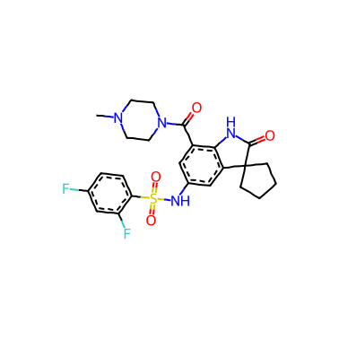 CN1CCN(C(=O)c2cc(NS(=O)(=O)c3ccc(F)cc3F)cc3c2NC(=O)C32CCCC2)CC1